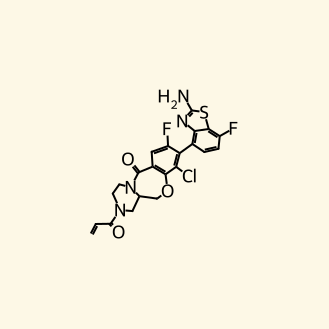 C=CC(=O)N1CCN2C(=O)c3cc(F)c(-c4ccc(F)c5sc(N)nc45)c(Cl)c3OCC2C1